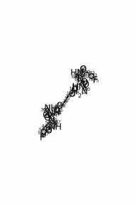 C[C@H](N)C(=O)N[C@@H](Cc1ccc(OCC#CC#CCOc2ccc(C[C@H](NC(=O)[C@H](C)N)C(=O)N3CC(C)(C)c4[nH]c(=O)c(Cc5ccc(F)cc5)cc43)cc2)cc1)C(=O)N1CC(C)(C)c2[nH]c(=O)c(Cc3ccc(F)cc3)cc21